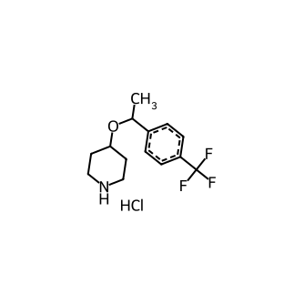 CC(OC1CCNCC1)c1ccc(C(F)(F)F)cc1.Cl